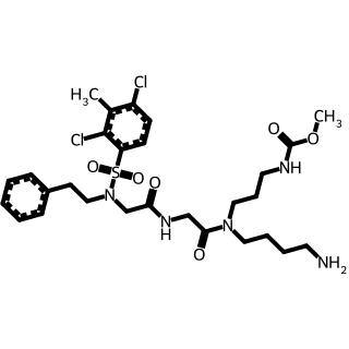 COC(=O)NCCCN(CCCCN)C(=O)CNC(=O)CN(CCc1ccccc1)S(=O)(=O)c1ccc(Cl)c(C)c1Cl